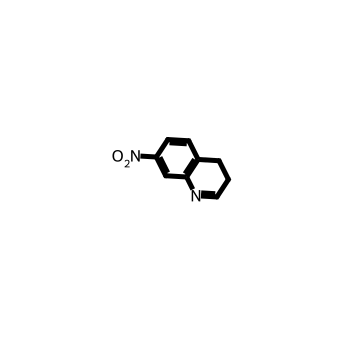 O=[N+]([O-])c1ccc2c(c1)N=CCC2